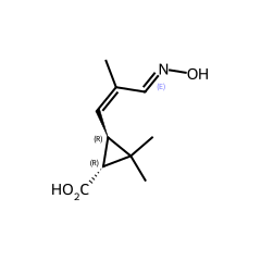 CC(=C[C@@H]1[C@@H](C(=O)O)C1(C)C)/C=N/O